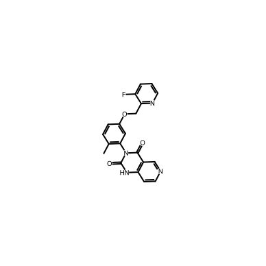 Cc1ccc(OCc2ncccc2F)cc1-n1c(=O)[nH]c2ccncc2c1=O